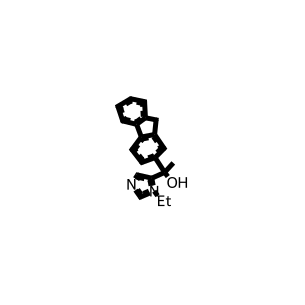 CCn1cncc1C(C)(O)c1ccc2c(c1)Cc1ccccc1-2